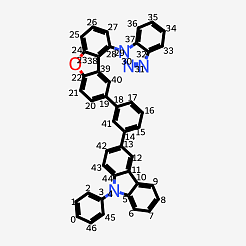 c1ccc(-n2c3ccccc3c3cc(-c4cccc(-c5ccc6oc7cccc(-n8nnc9ccccc98)c7c6c5)c4)ccc32)cc1